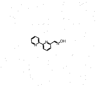 ON=Cc1cccc(-c2ccccn2)n1